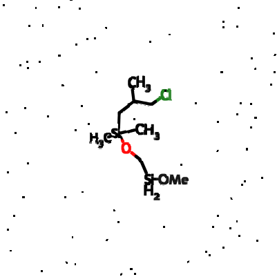 CO[SiH2]CO[Si](C)(C)CC(C)CCl